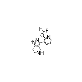 Cn1nc(-c2cccnc2OC(F)F)c2c1CCNC2